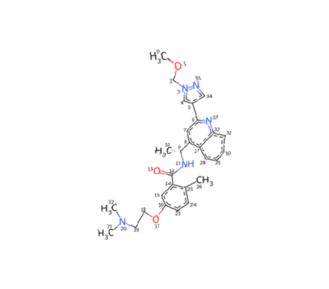 COCn1cc(-c2cc([C@@H](C)NC(=O)c3cc(OCCN(C)C)ccc3C)c3ccccc3n2)cn1